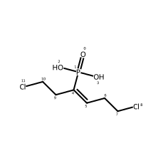 O=P(O)(O)C(=CCCCl)CCCl